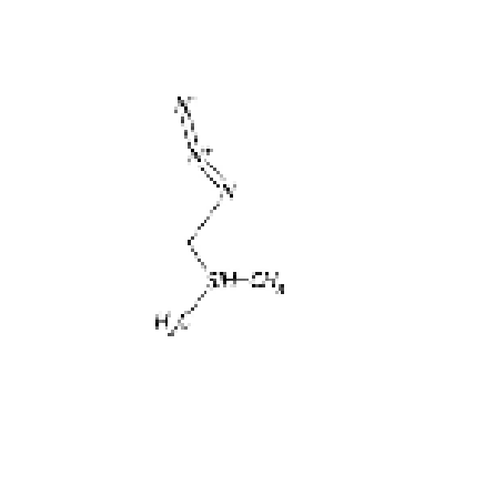 C[SiH](C)CN=[N+]=[N-]